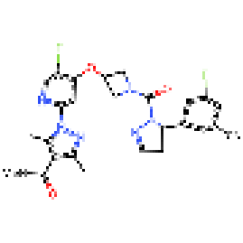 CNC(=O)c1c(C)nn(-c2cc(OC3CN(C(=O)N4N=CCC4c4cc(F)cc(C#N)c4)C3)c(F)cn2)c1C